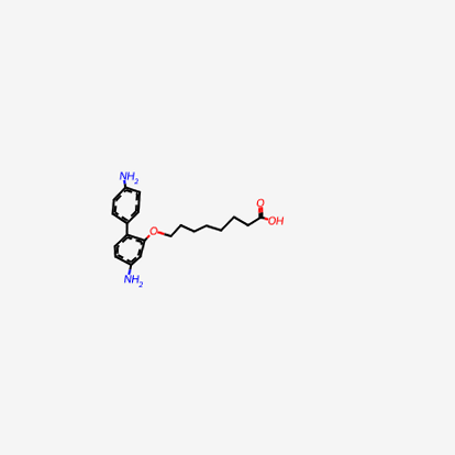 Nc1ccc(-c2ccc(N)cc2OCCCCCCCC(=O)O)cc1